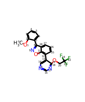 COc1ccccc1-c1noc2c(-c3cncnc3OCC(F)(F)F)cccc12